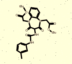 Cc1cccc(NC(=O)NC2C(=O)N(CC(=O)OC(C)(C)C)c3ccccc3N(CC(=O)OC(C)(C)C)C2=O)c1